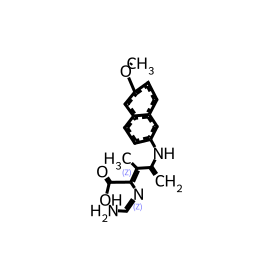 C=C(Nc1ccc2cc(OC)ccc2c1)/C(C)=C(\N=C/N)C(=O)O